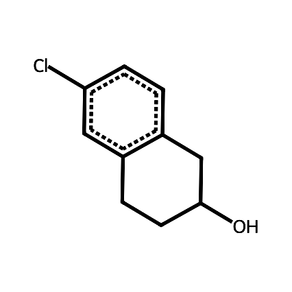 OC1CCc2cc(Cl)ccc2C1